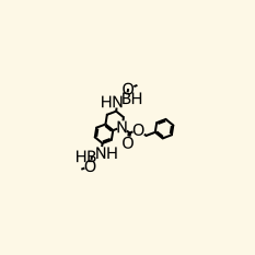 COBNc1ccc2c(c1)N(C(=O)OCc1ccccc1)CC(NBOC)C2